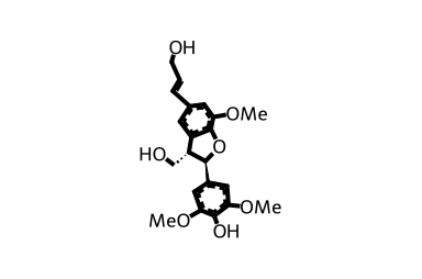 COc1cc([C@@H]2Oc3c(OC)cc(/C=C/CO)cc3[C@H]2CO)cc(OC)c1O